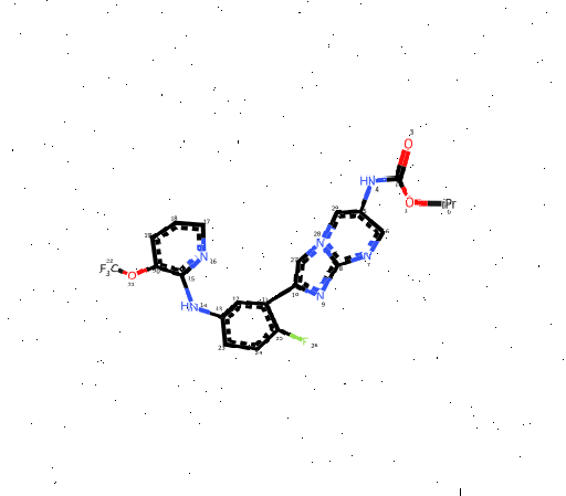 CC(C)OC(=O)Nc1cnc2nc(-c3cc(Nc4ncccc4OC(F)(F)F)ccc3F)cn2c1